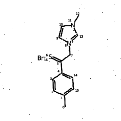 Cc1ccc(C(=S)C[n+]2ccn(C)c2)cc1.[Br-]